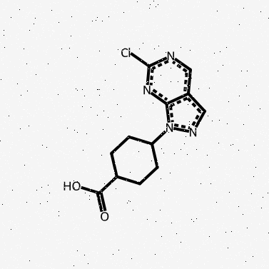 O=C(O)C1CCC(n2ncc3cnc(Cl)nc32)CC1